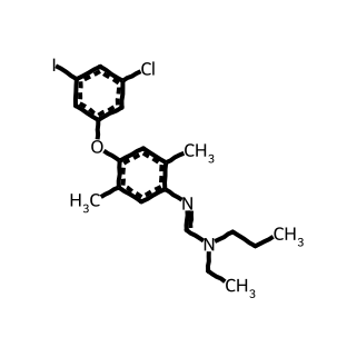 CCCN(C=Nc1cc(C)c(Oc2cc(Cl)cc(I)c2)cc1C)CC